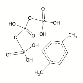 Cc1ccc(C)cc1.O=P(O)(O)OP(=O)(O)OP(=O)(O)O